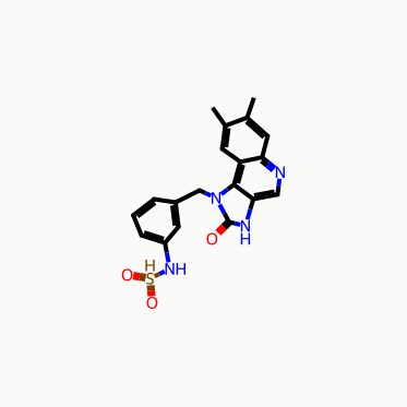 Cc1cc2ncc3[nH]c(=O)n(Cc4cccc(N[SH](=O)=O)c4)c3c2cc1C